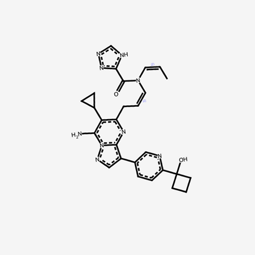 C/C=C\N(/C=C\Cc1nc2c(-c3ccc(C4(O)CCC4)nc3)cnn2c(N)c1C1CC1)C(=O)c1nnc[nH]1